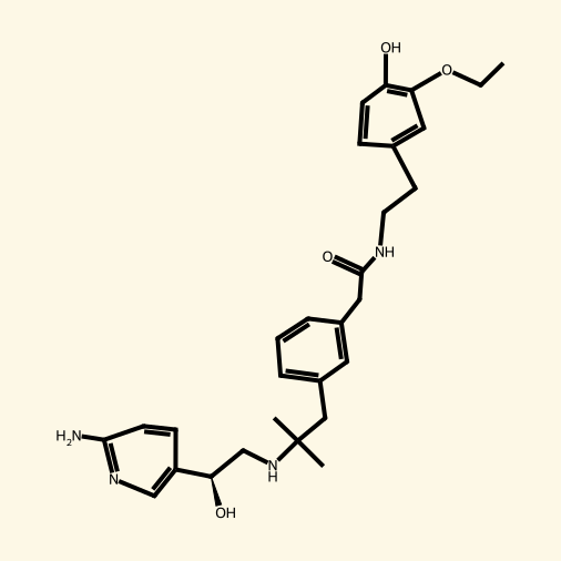 CCOc1cc(CCNC(=O)Cc2cccc(CC(C)(C)NC[C@@H](O)c3ccc(N)nc3)c2)ccc1O